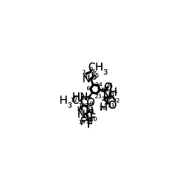 Cc1cnc(-c2cc(C(=O)N[C@H](C)c3cnc(C(F)(F)F)nc3)cc(C(=O)N3C[C@H]4C[C@@H]3CO4)c2)s1